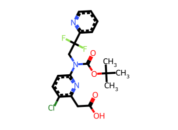 CC(C)(C)OC(=O)N(CC(F)(F)c1ccccn1)c1ccc(Cl)c(CC(=O)O)n1